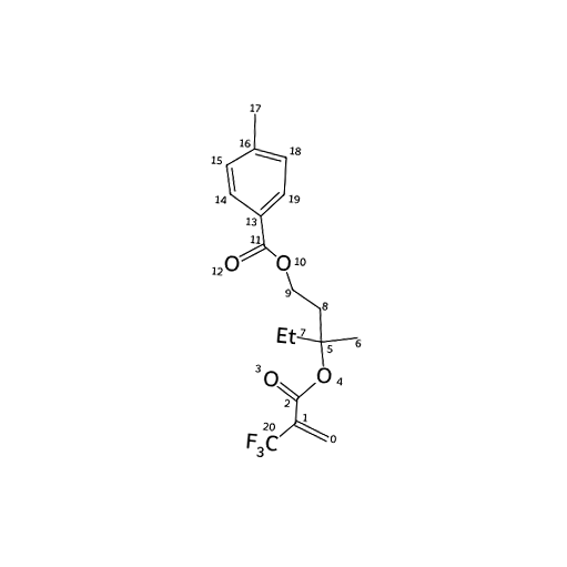 C=C(C(=O)OC(C)(CC)CCOC(=O)c1ccc(C)cc1)C(F)(F)F